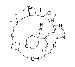 C[C@H]1Nc2ncnc3c2cc(C2(C#N)CCOCC2)c(=O)n3CCCCCC2CC(CCC(F)(F)c3cccc1c3F)C2